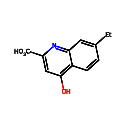 CCc1ccc2c(O)cc(C(=O)O)nc2c1